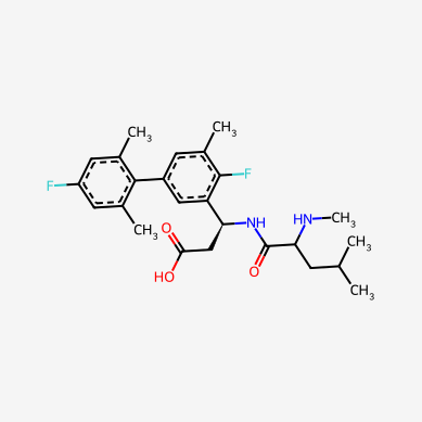 CNC(CC(C)C)C(=O)N[C@@H](CC(=O)O)c1cc(-c2c(C)cc(F)cc2C)cc(C)c1F